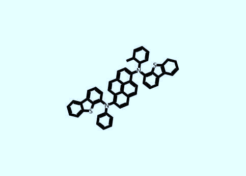 CC1C=CC=CC1N(c1ccc2ccc3c(N(c4ccccc4)c4cccc5c4sc4ccccc45)ccc4ccc1c2c43)c1cccc2c3c(sc12)CCC=C3